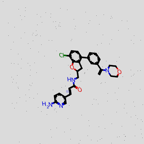 C=C(c1cccc(-c2ccc(Cl)c3c2CC(CNC(=O)/C=C/c2ccc(N)nc2)O3)c1)N1CCOCC1